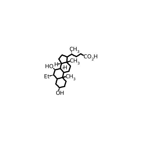 CC[C@@H]1C2C[C@H](O)CCC2(C)C2CCC3(C)C([C@H](C)CCC(=O)O)CC[C@H]3[C@@H]2[C@@H]1O